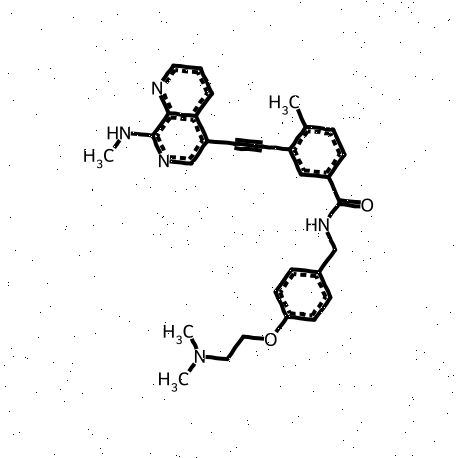 CNc1ncc(C#Cc2cc(C(=O)NCc3ccc(OCCN(C)C)cc3)ccc2C)c2cccnc12